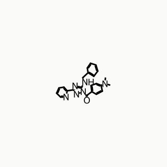 CN(C)c1ccc(C(=O)n2nc(-c3ccccn3)nc2NCc2ccccc2)cc1